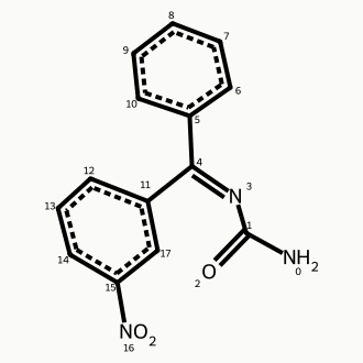 NC(=O)N=C(c1ccccc1)c1cccc([N+](=O)[O-])c1